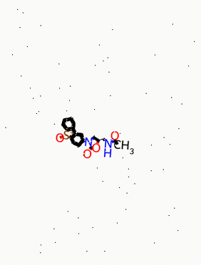 CC(=O)NC[C@H]1CN(c2ccc3c(c2)c2ccccc2[s+]3[O-])C(=O)O1